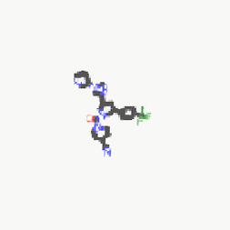 N#CC1CCN(C(=O)N2CC(c3ccc(C(F)(F)F)cc3)CC(c3cn(-c4cccnc4)cn3)C2)CC1